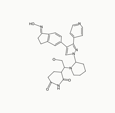 [O]CC(C1CCC(=O)NC1=O)N1CCCCC1n1cc(-c2ccc3c(c2)CC/C3=N\O)c(-c2ccncc2)n1